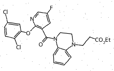 CCOC(=O)CCN1CCN(C(=O)c2cc(F)cnc2Oc2cc(Cl)ccc2Cl)c2ccccc21